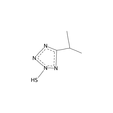 CC(C)c1nnn(S)n1